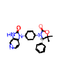 CC1(C)OC(=O)N([C@H]2CC[C@H](n3c(=O)[nH]c4cnccc43)CC2)[C@H]1c1ccccc1